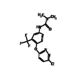 CN(C)C(=O)Nc1ccc(Oc2ccc(Cl)nn2)c(C(F)(F)F)c1